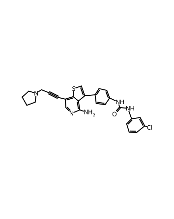 Nc1ncc(C#CCN2CCCC2)c2scc(-c3ccc(NC(=O)Nc4cccc(Cl)c4)cc3)c12